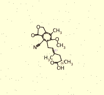 COc1c(C)c2c(c(C#N)c1C/C=C(\C)C[C@H](C)C(=O)O)C(=O)OC2